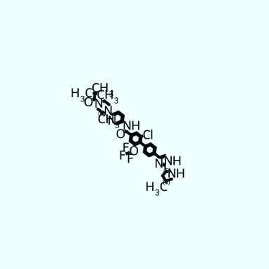 C[C@@H]1CN[C@H](c2nc(-c3ccc(-c4c(Cl)cc(C(=O)Nc5ccc(N6CCN(C(=O)C(C)(C)C)C[C@H]6C)nc5)cc4OC(F)(F)F)cc3)c[nH]2)C1